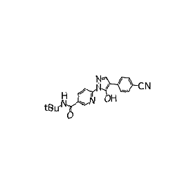 CC(C)(C)NC(=O)c1ccc(-n2ncc(-c3ccc(C#N)cc3)c2O)nc1